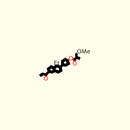 C=CC(=O)c1ccc2c(CC)c(-c3ccc(OC(=O)C(=C)COC)cc3)ccc2c1